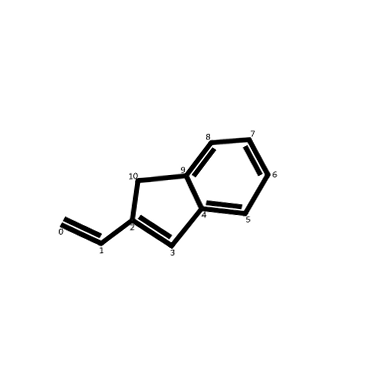 C=CC1=Cc2ccccc2C1